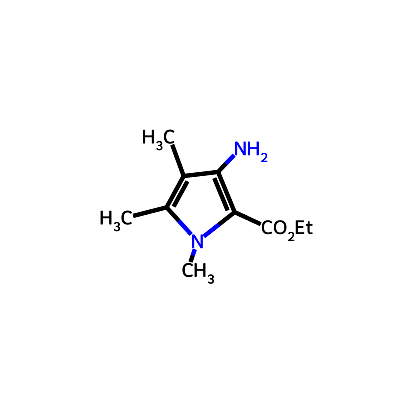 CCOC(=O)c1c(N)c(C)c(C)n1C